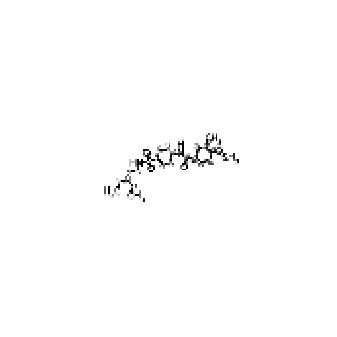 CCN(CC)CCNS(=O)(=O)c1ccc(NC(=O)c2ccc(OC)c(C)c2)cc1